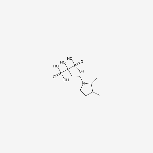 CC1CCN(CCC(O)(P(=O)(O)O)P(=O)(O)O)C1C